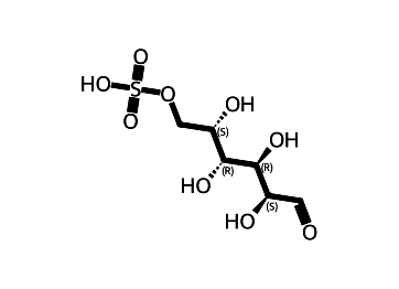 O=C[C@@H](O)[C@H](O)[C@H](O)[C@@H](O)COS(=O)(=O)O